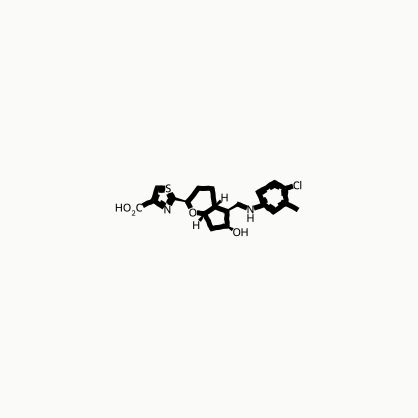 Cc1cc(NC[C@@H]2[C@H]3CC[C@H](c4nc(C(=O)O)cs4)O[C@H]3C[C@@H]2O)ccc1Cl